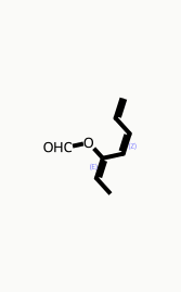 C=C/C=C\C(=C/C)OC=O